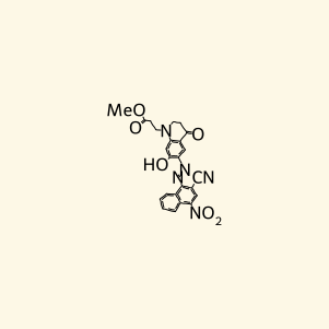 COC(=O)CCN1CCC(=O)c2cc(/N=N/c3c(C#N)cc([N+](=O)[O-])c4ccccc34)c(O)cc21